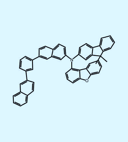 CC1(C)c2ccccc2-c2ccc(N(c3ccc4ccc(-c5cccc(-c6ccc7ccccc7c6)c5)cc4c3)c3cccc4oc5ccccc5c34)cc21